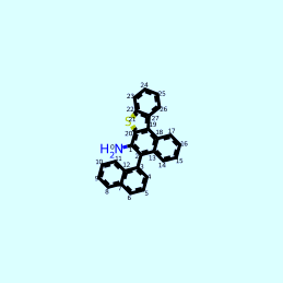 Nc1c(-c2cccc3ccccc23)c2ccccc2c2c1sc1ccccc12